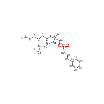 CCCCCCCCC(C)(CCCCCC)COC(=O)CCCc1ccccc1